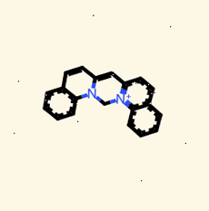 C1=Cc2ccccc2N2C[n+]3c(ccc4ccccc43)C=C12